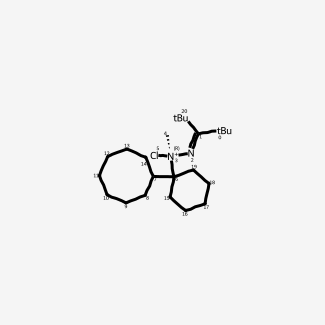 CC(C)(C)C(=N[N@+](C)(Cl)C1(C2CCCCCCC2)CCCCC1)C(C)(C)C